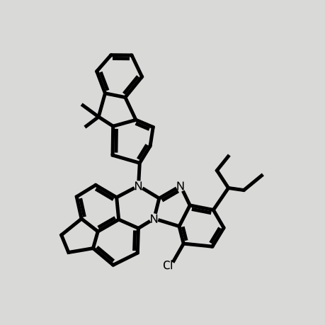 CCC(CC)c1ccc(Cl)c2c1nc1n(-c3ccc4c(c3)C(C)(C)c3ccccc3-4)c3ccc4c5c(ccc(c53)n21)CC4